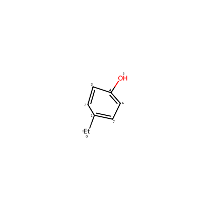 C[C]c1ccc(O)cc1